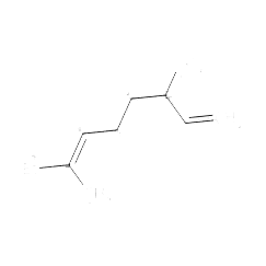 C=C[C](C)CCC=C(C)CC